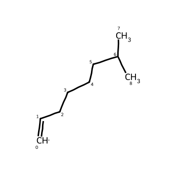 [CH]=CCCCCC(C)C